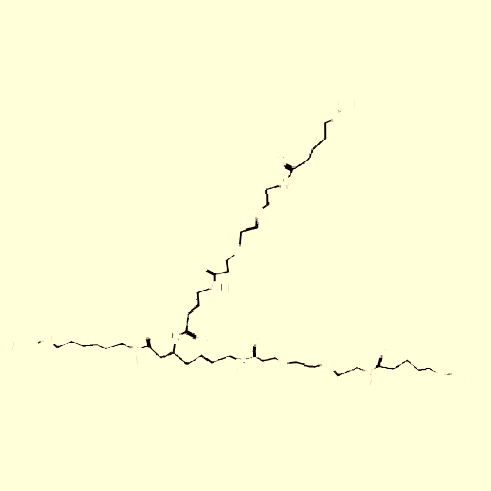 COCCCCCCNC(=O)CC(CCCCNC(=O)CCOCCOCCNC(=O)CCCCOC)NC(=O)CCCNC(=O)CCOCCOCCNC(=O)CCCCOC